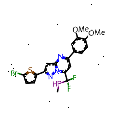 COc1ccc(-c2cc(C(F)(F)PC)n3nc(-c4ccc(Br)s4)cc3n2)cc1OC